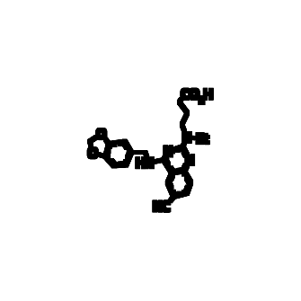 CCN(CCCC(=O)O)c1nc(NCc2ccc3c(c2)OCO3)c2cc(C#N)ccc2n1